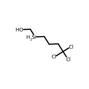 OC[SiH2]CCCC(Cl)(Cl)Cl